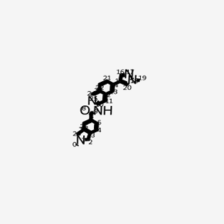 CN1Cc2ccc(C(=O)Nc3cc4cc(-c5cnn(C)c5)ccc4cn3)cc2C1